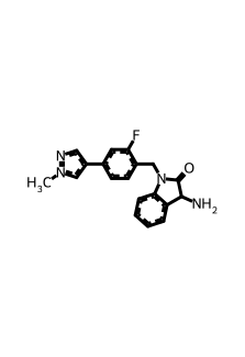 Cn1cc(-c2ccc(CN3C(=O)C(N)c4ccccc43)c(F)c2)cn1